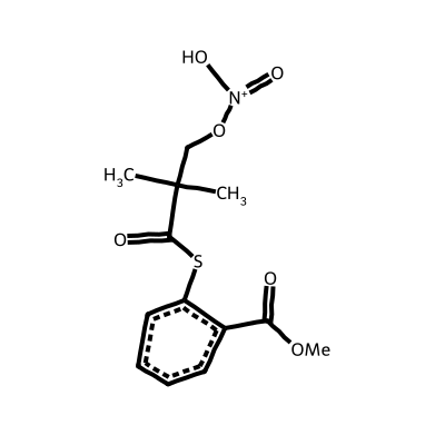 COC(=O)c1ccccc1SC(=O)C(C)(C)CO[N+](=O)O